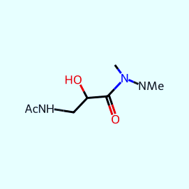 CNN(C)C(=O)C(O)CNC(C)=O